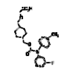 Cc1ccc(N(C(=O)OCC2CCC(COCC(=O)O)CC2)c2cccc(F)c2)cc1